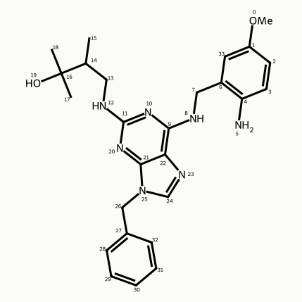 COc1ccc(N)c(CNc2nc(NCC(C)C(C)(C)O)nc3c2ncn3Cc2ccccc2)c1